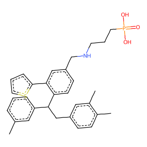 Cc1cccc(C(Cc2ccc(C)c(C)c2)c2ccc(CNCCCP(=O)(O)O)cc2-c2cccs2)c1